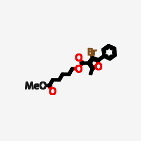 COC(=O)CCCCCOC(=O)c1c(C)oc(-c2ccccc2)c1Br